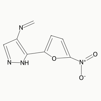 C=Nc1cn[nH]c1-c1ccc([N+](=O)[O-])o1